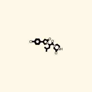 CC(C)CC(C(=O)N1CCNC(=O)C1)N1CC(c2ccc(Cl)cc2)CC1=O